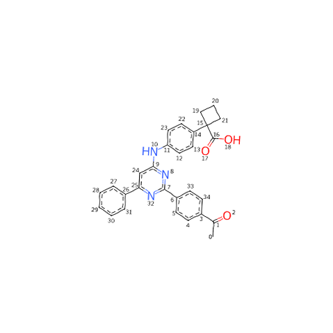 CC(=O)c1ccc(-c2nc(Nc3ccc(C4(C(=O)O)CCC4)cc3)cc(-c3ccccc3)n2)cc1